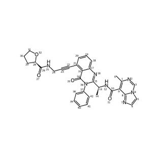 Cc1ncn2ccnc2c1C(=O)N[C@@H](C)c1nc2cccc(C#CCNC(=O)[C@H]3CCCO3)c2c(=O)n1-c1ccccc1